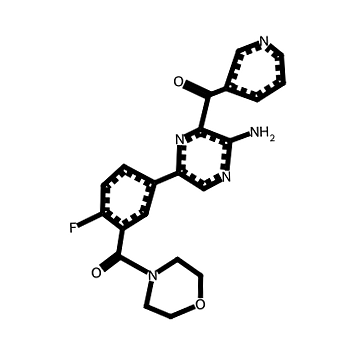 Nc1ncc(-c2ccc(F)c(C(=O)N3CCOCC3)c2)nc1C(=O)c1cccnc1